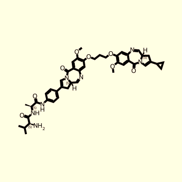 COc1cc2c(cc1OCCCOc1cc3c(cc1OC)C(=O)N1C=C(C4CC4)C[C@H]1C=N3)N=C[C@@H]1CC(c3ccc(NC(=O)[C@H](C)NC(=O)[C@@H](N)C(C)C)cc3)=CN1C2=O